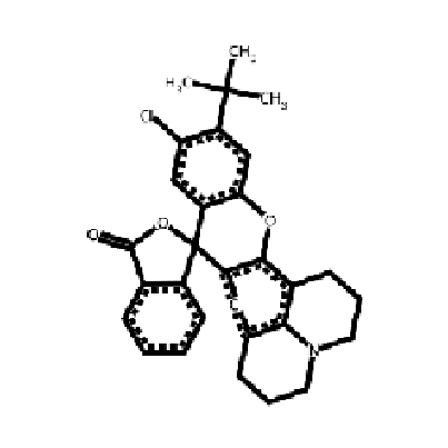 CC(C)(C)c1cc2c(cc1Cl)C1(OC(=O)c3ccccc31)c1cc3c4c(c1O2)CCCN4CCC3